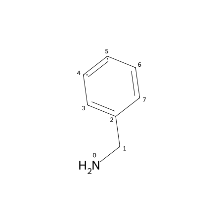 NCc1c[c][c]cc1